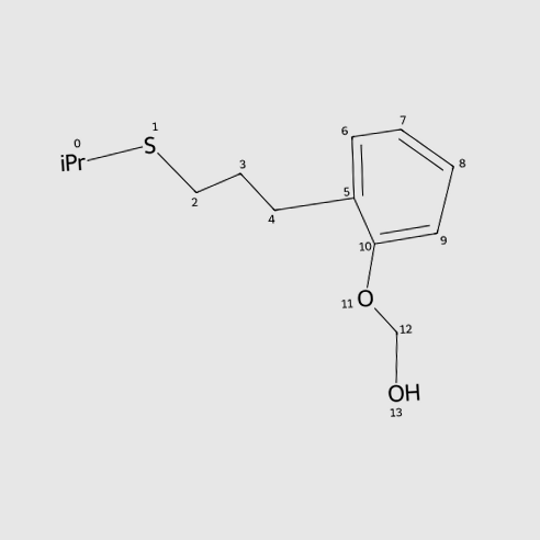 CC(C)SCCCc1ccccc1OCO